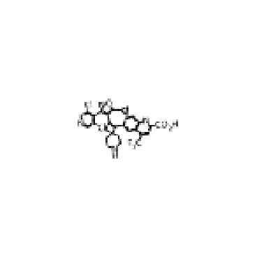 O=C(O)c1cc(C(F)(F)F)c2cc(C3=C(c4c(-c5c(Cl)cncc5Cl)noc4C4CC4)CC34CCNCC4)ccc2n1